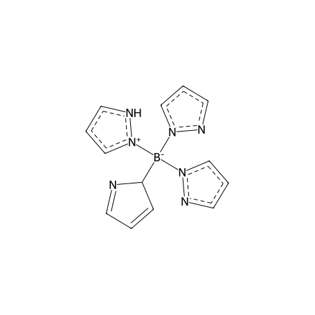 C1=CC([B-](n2cccn2)(n2cccn2)[n+]2ccc[nH]2)N=C1